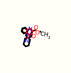 CCOC(=O)c1nc2ccccc2n(C2CC3CCCC(C2)N3C2CC3CCCC(C3)C2)c1=O